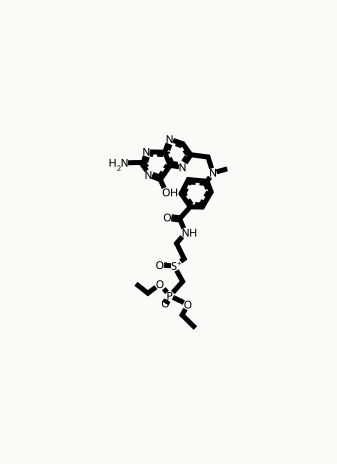 CCOP(=O)(C[S+]([O-])CCNC(=O)c1ccc(N(C)Cc2cnc3nc(N)nc(O)c3n2)cc1)OCC